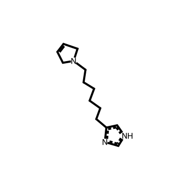 C1=CCN(CCCCCCc2c[nH]cn2)C1